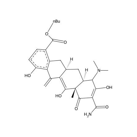 C=C1C2=C(O)[C@@]3(C)C(=O)C(C(N)=O)=C(O)C(N(C)C)[C@@H]3C[C@@H]2Cc2c(C(=O)OCCCC)ccc(O)c21